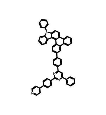 c1ccc(-c2cc(-c3ccc(-c4ccc5c(c4)c4ccccc4c4ccc6c(c7ccccc7n6-c6ccccc6)c45)cc3)nc(-c3ccc(-c4ccncc4)cc3)n2)cc1